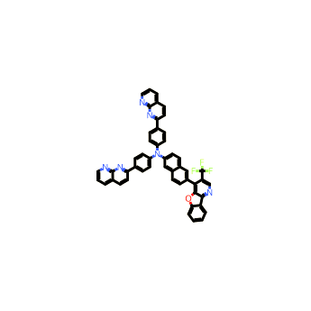 FC(F)(F)c1cnc2c(oc3ccccc32)c1-c1ccc2cc(N(c3ccc(-c4ccc5cccnc5n4)cc3)c3ccc(-c4ccc5cccnc5n4)cc3)ccc2c1